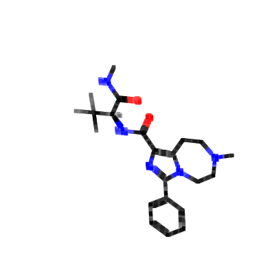 CNC(=O)[C@@H](NC(=O)c1nc(-c2ccccc2)n2c1CCN(C)CC2)C(C)(C)C